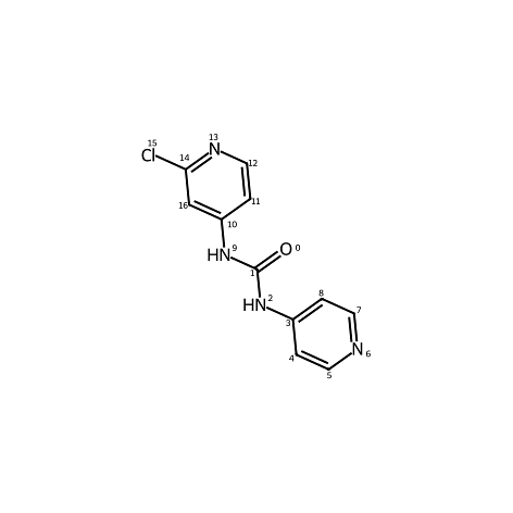 O=C(Nc1ccncc1)Nc1ccnc(Cl)c1